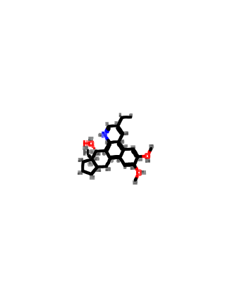 CCc1cnc2c3c(c4cc(OC)c(OC)cc4c2c1)CC1CCC[C@@H]1[C@@H]3O